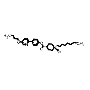 CCCCCCCC[C@]1(C#N)CC[C@H](C(=O)Oc2ccc(-c3ccc(OCCCC)cn3)cc2)CC1